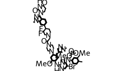 COc1cc(N2CCN(C(=O)CN3CCC(c4ccc5c(N6CCC(=O)NC6=O)nn(C)c5c4)C(F)(F)C3)CC2)c(-c2cnn(C)c2)cc1Nc1ncc(Br)c(Nc2ccc(C)c(C)c2P(=O)(OC)OC)n1